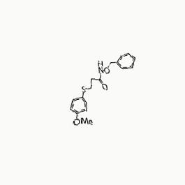 COc1ccc(SCCC(=O)NOCc2ccccc2)cc1